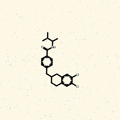 CC(C)C(C)NC(=O)c1ccc(CC2CCc3cc(Cl)c(Cl)cc3C2)cc1